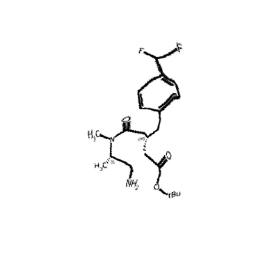 C[C@@H](CN)N(C)C(=O)[C@@H](CC(=O)OC(C)(C)C)Cc1ccc(C(F)F)cc1